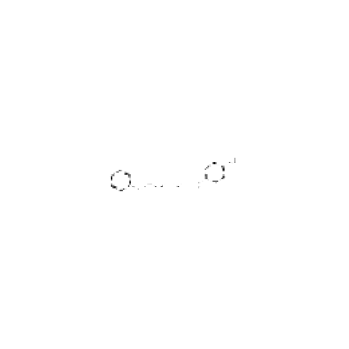 [O]c1ccc(OCCCCCCc2ccccc2)cc1